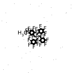 C[SH2+].Fc1c(F)c(F)c(C[B-](Cc2c(F)c(F)c(F)c(F)c2F)(Cc2c(F)c(F)c(F)c(F)c2F)Cc2c(F)c(F)c(F)c(F)c2F)c(F)c1F